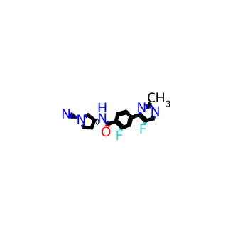 Cc1ncc(F)c(-c2ccc(C(=O)N[C@@H]3CCN(C#N)C3)c(F)c2)n1